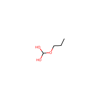 CCCO[C](O)O